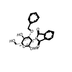 CO[C@H]1O[C@H](CO)[C@@H](O)[C@H](OCc2ccccc2)[C@@H]1N1C(=O)c2ccccc2C1=O